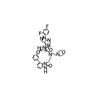 O=C1[C@@H]2C[C@@H](CN2c2ncnc3c2cnn3-c2ccc(F)cc2F)Oc2cccc(c2)-c2cccc3[nH]c(=O)n(c23)CCCN1CCN1CCOCC1